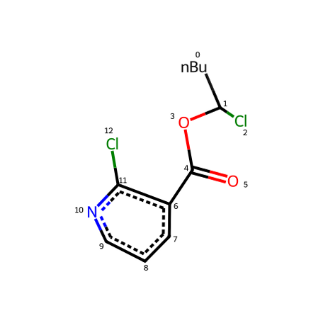 CCCCC(Cl)OC(=O)c1cccnc1Cl